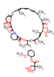 CO[C@@H]1C[C@H](C[C@@H](C)[C@@H]2CC(=O)[C@H](C)/C=C(\C)[C@@H](O)[C@@H](OC)C(=O)[C@H](C)C[C@H](C)/C=C/C=C/C=C(\C)CC[C@@H]3CC[C@@H](C)[C@@](O)(O3)C(=O)C(=O)N3CCCC[C@H]3C(=O)O2)CC[C@H]1OC(=O)C(C)(CO)CO